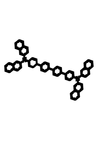 C1=CC(c2ccc(-c3ccc(-c4ccc(N(c5ccc6ccccc6c5)c5ccc6ccccc6c5)cc4)cc3)cc2)CC=C1N(c1ccc2ccccc2c1)c1ccc2ccccc2c1